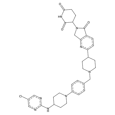 O=C1CCC(N2Cc3nc(C4CCN(Cc5ccc(N6CCC(Nc7ncc(Cl)cn7)CC6)cc5)CC4)ccc3C2=O)C(=O)N1